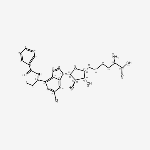 CCN(NC(=O)c1ccccc1)c1nc(Cl)nc2c1ncn2[C@@H]1O[C@H](CSCCC(N)C(=O)O)[C@H](O)[C@H]1O